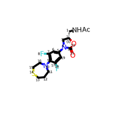 CC(=O)NC[C@H]1CN(c2cc(F)c(N3CCCSCC3)c(F)c2)C(=O)O1